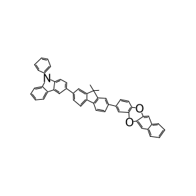 CC1(C)c2cc(-c3ccc4c(c3)Oc3cc5ccccc5cc3O4)ccc2-c2ccc(-c3ccc4c(c3)c3ccccc3n4-c3ccccc3)cc21